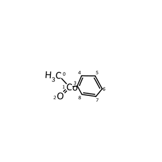 [CH3][Co](=[O])[c]1ccccc1